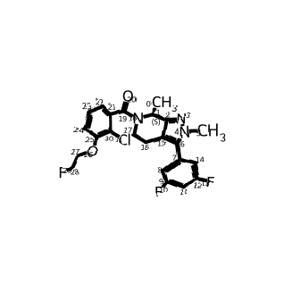 C[C@H]1c2nn(C)c(-c3cc(F)cc(F)c3)c2CCN1C(=O)c1cccc(OCCF)c1Cl